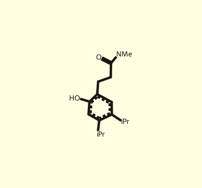 CNC(=O)CCc1cc(C(C)C)c(C(C)C)cc1O